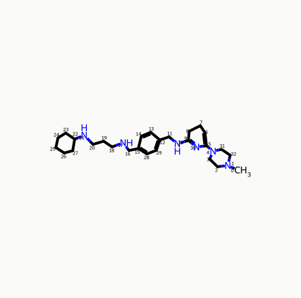 CN1CCN(C2=CCCC(NCc3ccc(CNCCCNC4CCCCC4)cc3)=N2)CC1